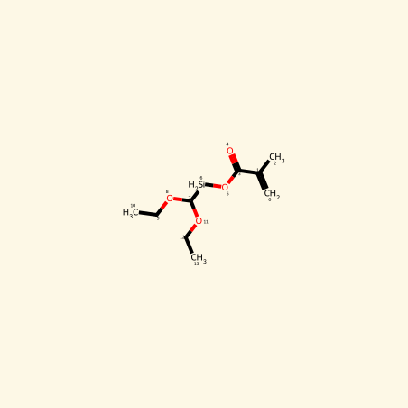 C=C(C)C(=O)O[SiH2]C(OCC)OCC